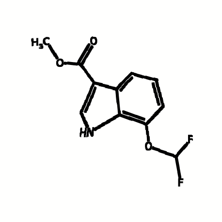 COC(=O)c1c[nH]c2c(OC(F)F)cccc12